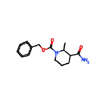 CC1C(C(N)=O)CCCN1C(=O)OCc1ccccc1